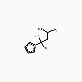 CC(C)CC(C)(C)n1ccnc1